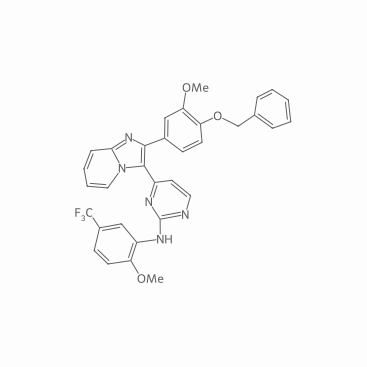 COc1ccc(C(F)(F)F)cc1Nc1nccc(-c2c(-c3ccc(OCc4ccccc4)c(OC)c3)nc3ccccn23)n1